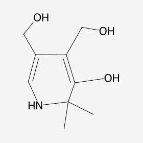 CC1(C)NC=C(CO)C(CO)=C1O